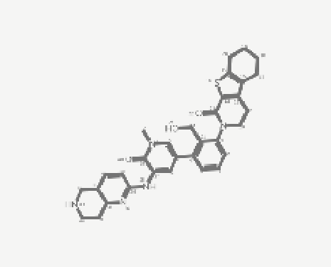 Cn1cc(-c2cccc(N3CCc4c(sc5c4CCCC5)C3=O)c2CO)cc(NC2=NC3CCNCC3C=C2)c1=O